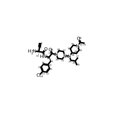 C#C[C@](C)(N)C(=O)N[C@H](Cc1ccc(Cl)cc1)C(=O)N1CCN(N(CC(C)C)C2CCN(C(C)=O)CC2)CC1